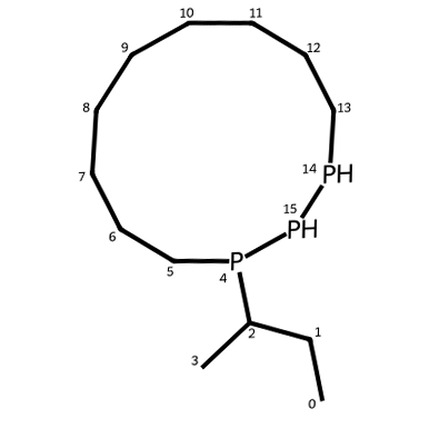 CCC(C)P1CCCCCCCCCPP1